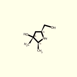 C[C@@H]1N[C@H](CO)C[C@@]1(C)O